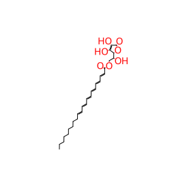 CCCCCCCCCC=CC=CC=CC=CC=CC=CC(=O)OC[C@H](O)[C@H]1OC(=O)C(O)=C1O